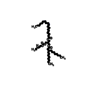 CCCCC/C=C\C/C=C\CCCCCCCC(=O)OCC(COC(=O)CC(CCCCCCCC)CCCCCCCC)COC(=O)OCCNC